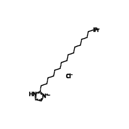 CC(C)CCCCCCCCCCCCCCCc1[nH]cc[n+]1C.[Cl-]